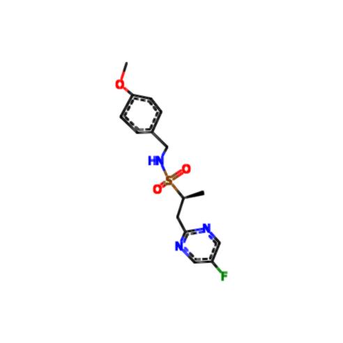 COc1ccc(CNS(=O)(=O)[C@@H](C)Cc2ncc(F)cn2)cc1